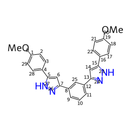 COc1ccc(-c2cc(-c3cccc(-c4cc(-c5ccc(OC)cc5)[nH]n4)c3)n[nH]2)cc1